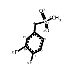 CS(=O)(=O)Cc1ccc(F)c(F)c1